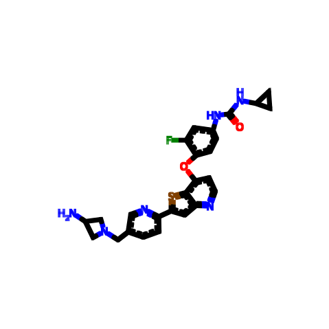 NC1CN(Cc2ccc(-c3cc4nccc(Oc5ccc(NC(=O)NC6CC6)cc5F)c4s3)nc2)C1